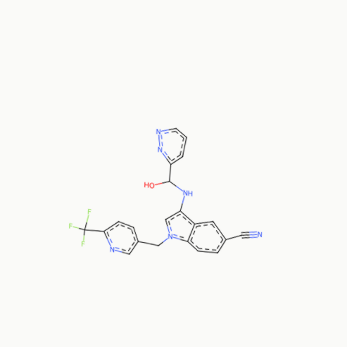 N#Cc1ccc2c(c1)c(NC(O)c1cccnn1)cn2Cc1ccc(C(F)(F)F)nc1